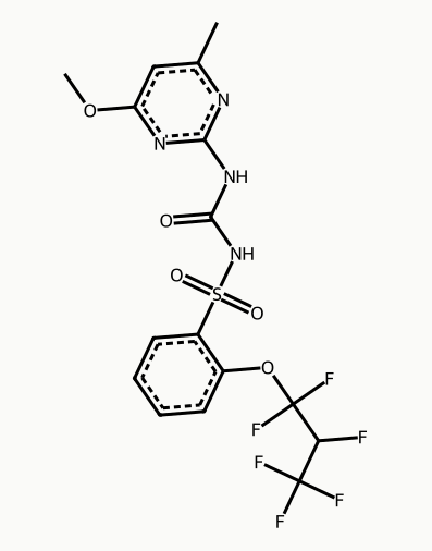 COc1cc(C)nc(NC(=O)NS(=O)(=O)c2ccccc2OC(F)(F)C(F)C(F)(F)F)n1